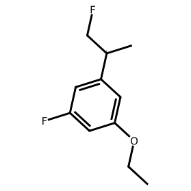 CCOc1cc(F)cc([C](C)CF)c1